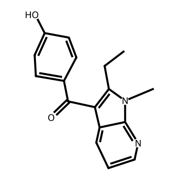 CCc1c(C(=O)c2ccc(O)cc2)c2cccnc2n1C